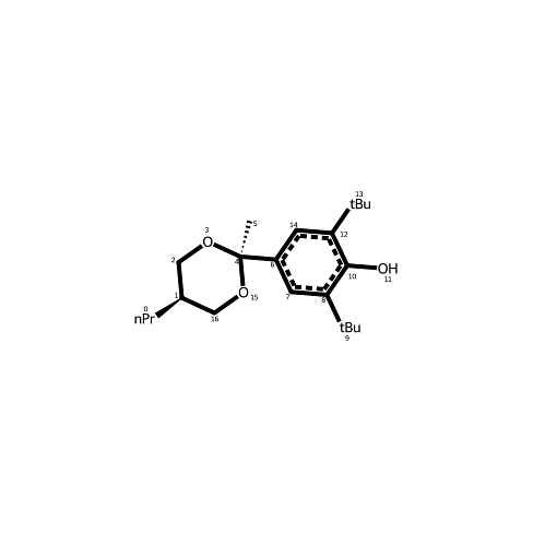 CCC[C@H]1CO[C@@](C)(c2cc(C(C)(C)C)c(O)c(C(C)(C)C)c2)OC1